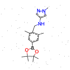 Cc1cc(B2OC(C)(C)C(C)(C)O2)cc(C)c1CNc1cnn(C)c1